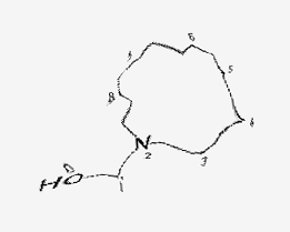 O[CH]N1CCCCCC1